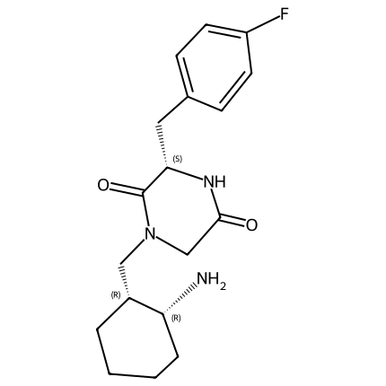 N[C@@H]1CCCC[C@@H]1CN1CC(=O)N[C@@H](Cc2ccc(F)cc2)C1=O